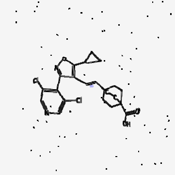 O=C(O)C12CCC(/C=C/c3c(-c4c(Cl)cncc4Cl)noc3C3CC3)(CC1)CC2